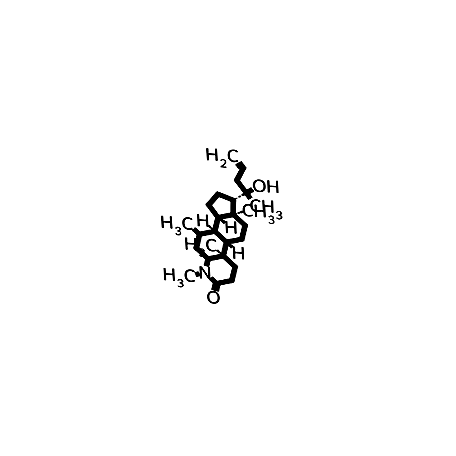 C=CCC(C)(O)[C@H]1CC[C@H]2[C@@H]3C(C)CC4N(C)C(=O)CC[C@]4(C)[C@H]3CC[C@]12C